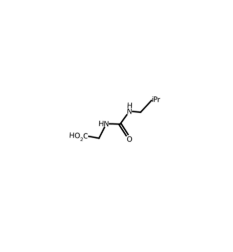 CC(C)CNC(=O)NCC(=O)O